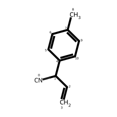 [C-]#[N+]C(C=C)c1ccc(C)cc1